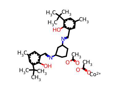 CC(=O)[O-].CC(=O)[O-].Cc1cc(C=NC2CCCC(N=Cc3cc(C)cc(C(C)(C)C)c3O)C2)c(O)c(C(C)(C)C)c1.[Co+2]